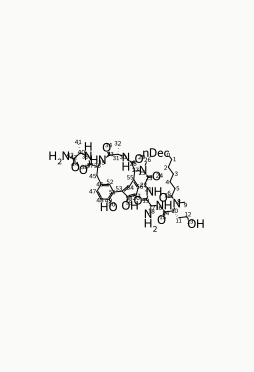 CCCCCCCCCCCCCCCC(=O)N(C)[C@H](CCO)C(=O)N[C@H](N)C(=O)NCC(=O)N(C)[C@@H]1C(=O)N[C@@H](C)C(=O)N[C@H](C(=O)N[C@@H](C)C(N)=O)Cc2ccc(O)c(c2)-c2cc1ccc2O